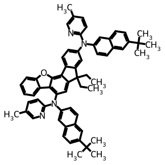 CCC1(CC)c2cc(N(c3ccc4cc(C(C)(C)C)ccc4c3)c3ccc(C)cn3)ccc2-c2c1cc(N(c1ccc3cc(C(C)(C)C)ccc3c1)c1ccc(C)cn1)c1c2oc2ccccc21